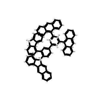 c1ccc2cc3c(cc2c1)c1ccccc1n3-c1ccc(-c2nc(-c3c4ccccc4cc4ccccc34)nc(-c3c4ccccc4cc4ccccc34)n2)cc1-c1cccc2oc3ccccc3c12